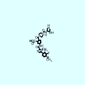 COc1ccc(-c2cnc(C(=O)Nc3ccc(C(=O)N4CCN(C(=O)N[C@H]5CNC[C@@H]5O)CC4)c(C)c3)n2C)c(F)c1F.O=CO